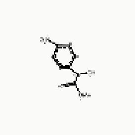 COC(=O)[C@H](O)c1ccc([N+](=O)[O-])cc1